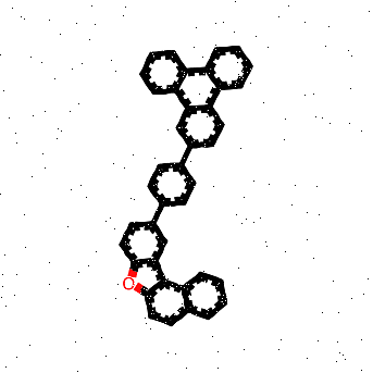 c1ccc2c(c1)ccc1oc3ccc(-c4ccc(-c5ccc6c7ccccc7c7ccccc7c6c5)cc4)cc3c12